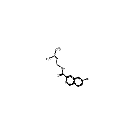 CN(C)CCNC(=O)c1cc2cc(Br)ccc2cn1